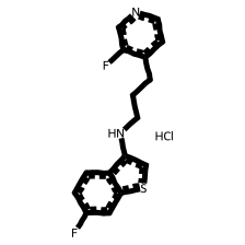 Cl.Fc1ccc2c(NCCCc3ccncc3F)csc2c1